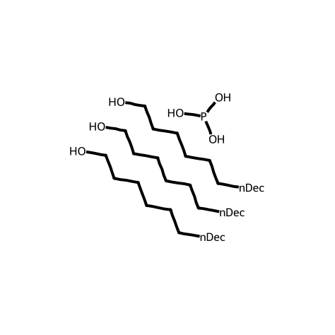 CCCCCCCCCCCCCCCCO.CCCCCCCCCCCCCCCCO.CCCCCCCCCCCCCCCCO.OP(O)O